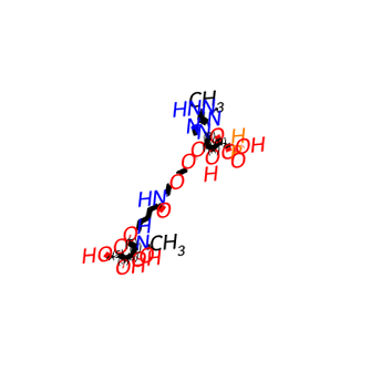 CNc1ncnc2c1ncn2[C@@H]1O[C@H](CO[PH](=O)O)[C@@H](O)[C@H]1OCOCCOCCNC(=O)CCCCO[C@H]1O[C@@H](CO)[C@@H](O)[C@@H](O)[C@@H]1NC(C)=O